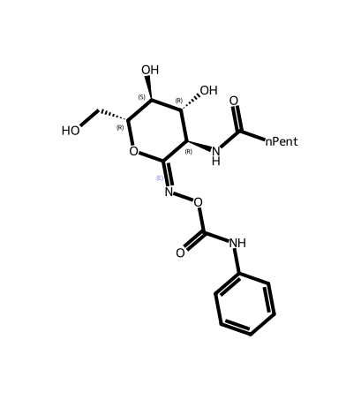 CCCCCC(=O)N[C@H]1/C(=N\OC(=O)Nc2ccccc2)O[C@H](CO)[C@@H](O)[C@@H]1O